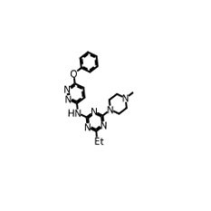 CCc1nc(Nc2ccc(Oc3ccccc3)nn2)nc(N2CCN(C)CC2)n1